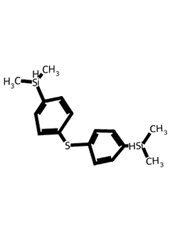 C[SiH](C)c1ccc(Sc2ccc([SiH](C)C)cc2)cc1